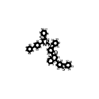 CC12C=CC=CC1C(c1ccc3sc4ccccc4c3c1)=Cc1oc3c(ccc4c3c3ccccc3n4-c3nc(-c4ccc(-c5ccccc5)cc4)c4sc5ccccc5c4n3)c12